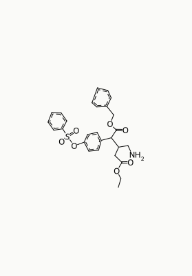 CCOC(=O)CC(CN)C(C(=O)OCc1ccccc1)c1ccc(OS(=O)(=O)c2ccccc2)cc1